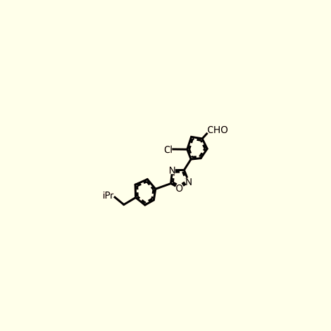 CC(C)Cc1ccc(-c2nc(-c3ccc(C=O)cc3Cl)no2)cc1